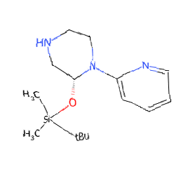 CC(C)(C)[Si](C)(C)O[C@@H]1CNCCN1c1ccccn1